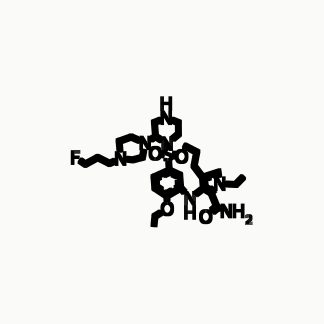 CCCc1cn(CC)c(C(N)=O)c1Nc1cc(S(=O)(=O)N2CCNCC2N2CCN(CCCF)CC2)ccc1OCC